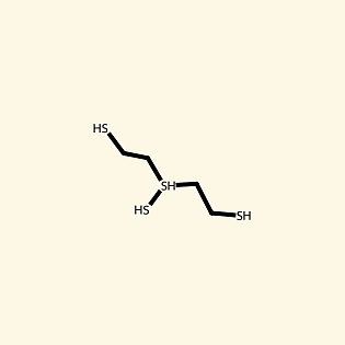 SCC[SH](S)CCS